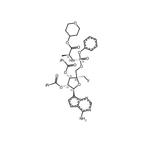 CC(C)C(=O)O[C@H]1[C@H](c2ccc3c(N)ncnn23)O[C@](CF)(CO[P@@](=O)(N[C@@H](C)C(=O)OC2CCOCC2)Oc2ccccc2)[C@H]1OC(=O)C(C)C